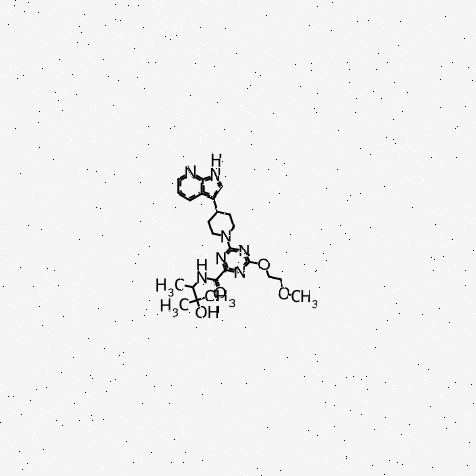 COCCOc1nc(C(=O)NC(C)C(C)(C)O)nc(N2CCC(c3c[nH]c4ncccc34)CC2)n1